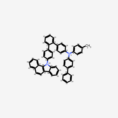 Cc1ccc(N(c2ccc(-c3ccccc3)cc2)c2ccc(-c3ccccc3-c3ccc(-n4c5ccccc5c5ccc6ccccc6c54)cc3)cc2)cc1